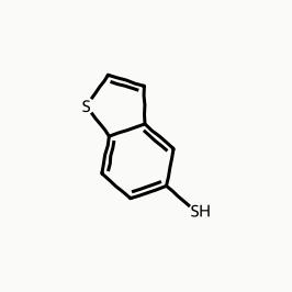 Sc1ccc2sccc2c1